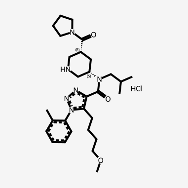 COCCCCc1c(C(=O)N(CC(C)C)[C@@H]2CNC[C@H](C(=O)N3CCCC3)C2)nnn1-c1ccccc1C.Cl